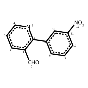 O=Cc1cccnc1-c1cccc([N+](=O)[O-])c1